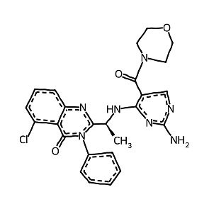 C[C@H](Nc1nc(N)ncc1C(=O)N1CCOCC1)c1nc2cccc(Cl)c2c(=O)n1-c1ccccc1